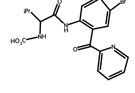 CC(C)C(NC(=O)O)C(=O)Nc1ccc(Br)cc1C(=O)c1ccccn1